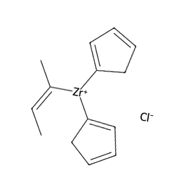 C/C=[C](/C)[Zr+]([C]1=CC=CC1)[C]1=CC=CC1.[Cl-]